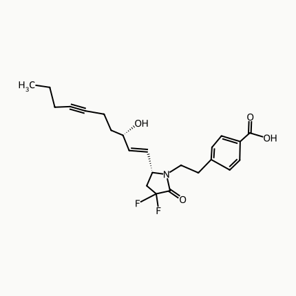 CCCC#CCC[C@H](O)C=C[C@H]1CC(F)(F)C(=O)N1CCc1ccc(C(=O)O)cc1